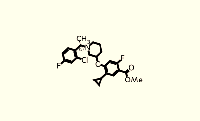 COC(=O)c1cc(C2CC2)c(OC2CCCN([C@@H](C)c3ccc(F)cc3Cl)C2)cc1F